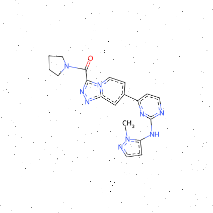 Cn1nccc1Nc1nccc(-c2ccn3c(C(=O)N4CCCC4)nnc3c2)n1